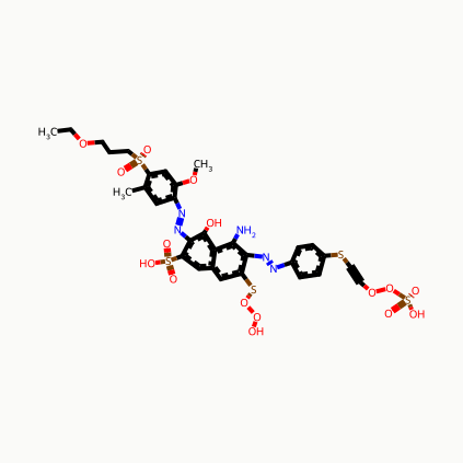 CCOCCCS(=O)(=O)c1cc(OC)c(N=Nc2c(S(=O)(=O)O)cc3cc(SOOO)c(N=Nc4ccc(SC#COOS(=O)(=O)O)cc4)c(N)c3c2O)cc1C